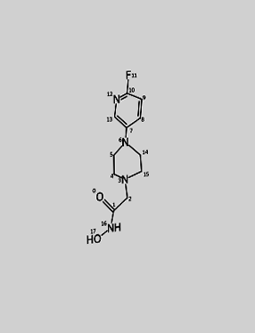 O=C(CN1CCN(c2ccc(F)nc2)CC1)NO